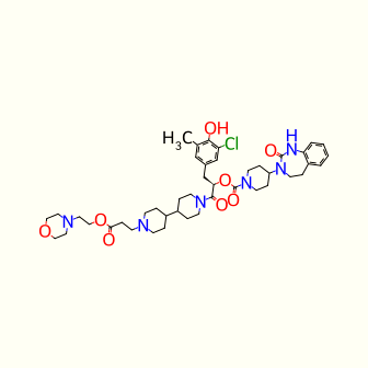 Cc1cc(C[C@@H](OC(=O)N2CCC(N3CCc4ccccc4NC3=O)CC2)C(=O)N2CCC(C3CCN(CCC(=O)OCCN4CCOCC4)CC3)CC2)cc(Cl)c1O